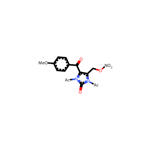 COc1ccc(C(=O)c2c(CO[N+](=O)[O-])n(C(C)=O)c(=O)n2C(C)=O)cc1